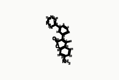 Cc1c(-c2cccc(-c3nncnn3)c2)c(=O)oc2cc(N)ccc12